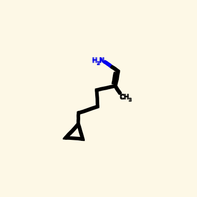 C/C(=C/N)CCCC1CC1